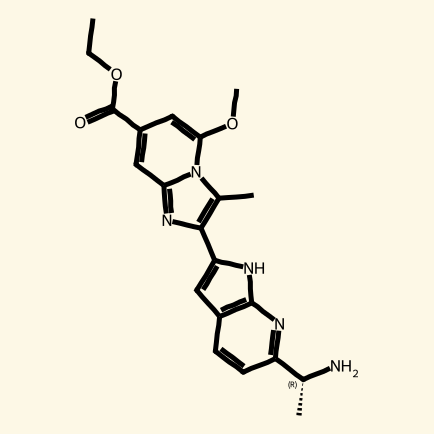 CCOC(=O)c1cc(OC)n2c(C)c(-c3cc4ccc([C@@H](C)N)nc4[nH]3)nc2c1